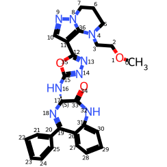 COCCN1CCCn2ncc(-c3nnc(N[C@H]4N=C(c5ccccc5)c5ccccc5NC4=O)o3)c21